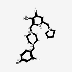 O=c1cc(CN2CCCC2)oc(CN2CCN(Cc3ccc(Br)cc3F)CC2)c1O